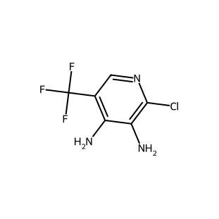 Nc1c(C(F)(F)F)cnc(Cl)c1N